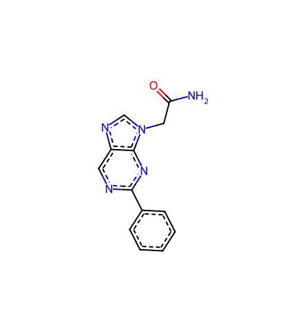 NC(=O)Cn1cnc2cnc(-c3ccccc3)nc21